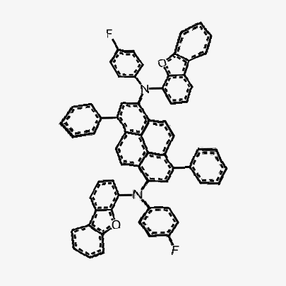 Fc1ccc(N(c2cc(-c3ccccc3)c3ccc4c(N(c5ccc(F)cc5)c5cccc6c5oc5ccccc56)cc(-c5ccccc5)c5ccc2c3c54)c2cccc3c2oc2ccccc23)cc1